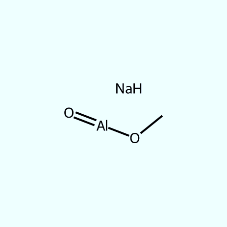 C[O][Al]=[O].[NaH]